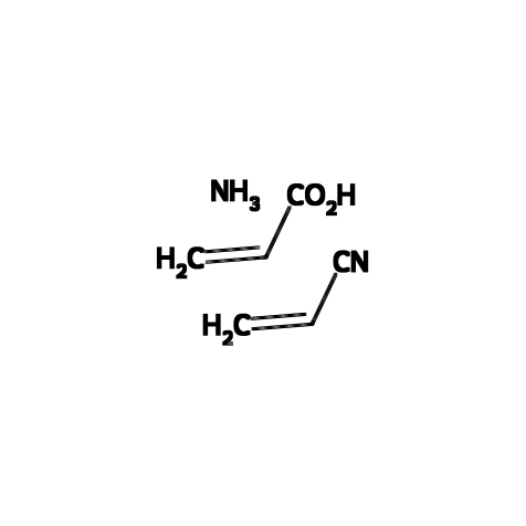 C=CC#N.C=CC(=O)O.N